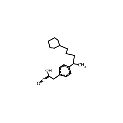 CC(CCCC1CCCCC1)c1ccc(CC(O)=C=O)cc1